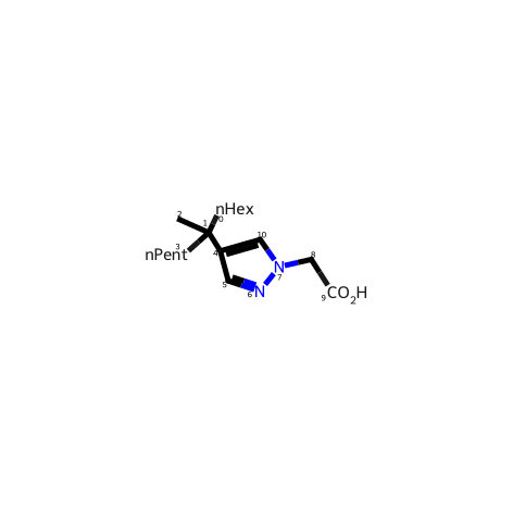 CCCCCCC(C)(CCCCC)c1cnn(CC(=O)O)c1